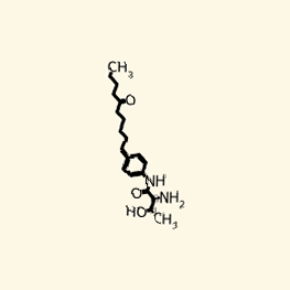 CCCCC(=O)CCCCCc1ccc(NC(=O)[C@@H](N)[C@@H](C)O)cc1